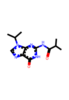 CC(C)C(=O)Nc1nc2c(ncn2C(C)C)c(=O)[nH]1